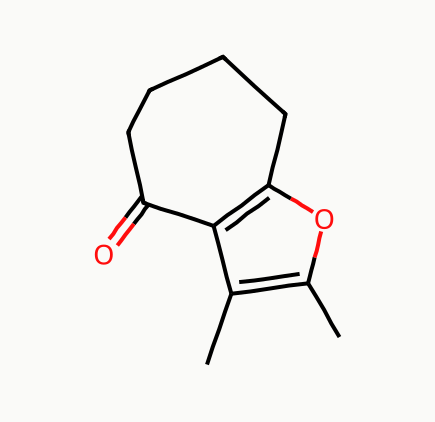 Cc1oc2c(c1C)C(=O)CCCC2